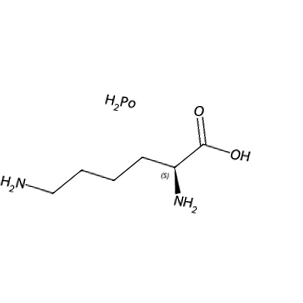 NCCCC[C@H](N)C(=O)O.[PoH2]